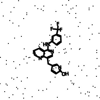 Oc1ccc(Cc2cnc(Nc3cccc(C(F)(F)F)c3)c3cccnc23)cn1